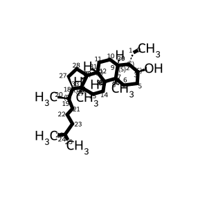 CC[C@@H]1[C@@H](O)CC[C@@]2(C)[C@H]1CC[C@@H]1[C@@H]2CC[C@]2(C)[C@@H]([C@H](C)CCCC(C)C)CC[C@@H]12